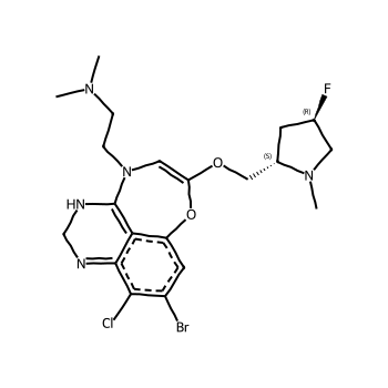 CN(C)CCN1C=C(OC[C@@H]2C[C@@H](F)CN2C)Oc2cc(Br)c(Cl)c3c2=C1NCN=3